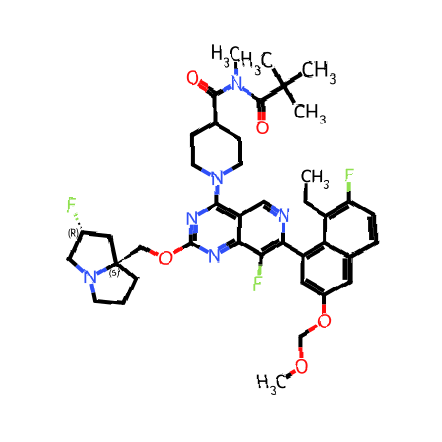 CCc1c(F)ccc2cc(OCOC)cc(-c3ncc4c(N5CCC(C(=O)N(C)C(=O)C(C)(C)C)CC5)nc(OC[C@@]56CCCN5C[C@H](F)C6)nc4c3F)c12